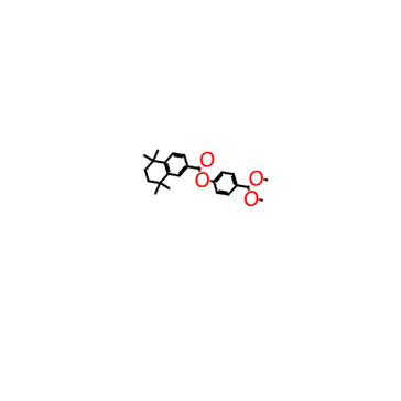 COC(OC)c1ccc(OC(=O)c2ccc3c(c2)C(C)(C)CCC3(C)C)cc1